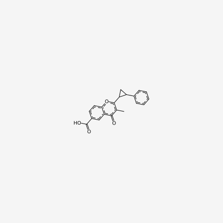 Cc1c(C2CC2c2ccccc2)oc2ccc(C(=O)O)cc2c1=O